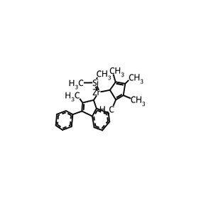 CC1=C(C)[CH]([Zr]([CH]2C(C)=C(c3ccccc3)c3ccccc32)=[Si](C)C)C(C)=C1C